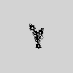 O=c1c2cn(-c3ccccc3)nc2nc(-c2ccc(-c3ccc(F)cc3)cc2)n1-c1ccc(Cl)cc1